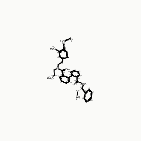 CCOc1ccc(CCN(CCC(=O)O)C(=O)c2ccccc2-c2ccccc2C(=O)N[C@@H](CO)c2ccccc2)cc1OC